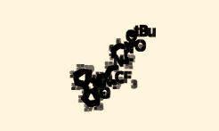 CC(C)(C)OC(=O)N1CCCN(CCCCC2(C(=O)NCC(F)(F)F)c3ccccc3-c3ccccc32)CC1